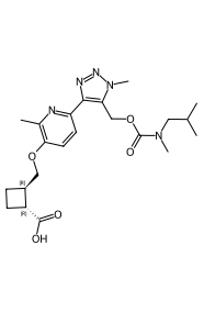 Cc1nc(-c2nnn(C)c2COC(=O)N(C)CC(C)C)ccc1OC[C@@H]1CC[C@H]1C(=O)O